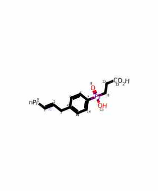 CCC/C=C/Cc1ccc(P(=O)(O)CCC(=O)O)cc1